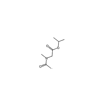 [CH2]C(=O)N(C)CC(=O)OC(C)C